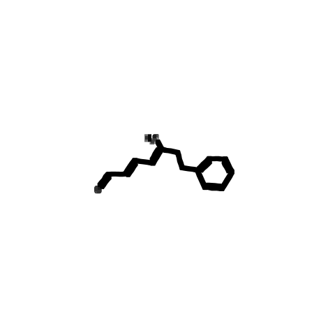 CC(=CC=CC=O)CCc1ccccc1